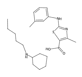 CCCCCNC1CCCCC1.Cc1cccc(Nc2nc(C)c(C(=O)O)s2)c1